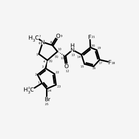 Cc1cc([C@H]2CN(C)C(=O)[C@@H]2C(=O)Nc2ccc(F)cc2F)ccc1Br